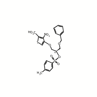 Cc1ccc(S(=O)(=O)O[C@H](COCc2ccccc2)COc2csc(C(=O)O)c2[N+](=O)[O-])cc1